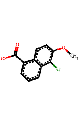 COc1ccc2c(C(=O)O)cccc2c1Cl